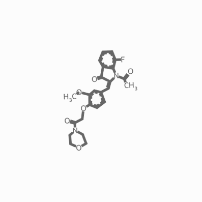 COc1cc(C=C2C(=O)c3cccc(F)c3N2C(C)=O)ccc1OCC(=O)N1CCOCC1